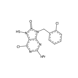 CCCc1nc(Cl)c2c(n1)n(Cc1ccccc1Cl)c(=O)n2S